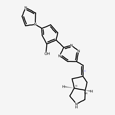 Oc1cc(-n2ccnc2)ccc1-c1ncc(/C=C2/C[C@H]3CNC[C@H]3C2)nn1